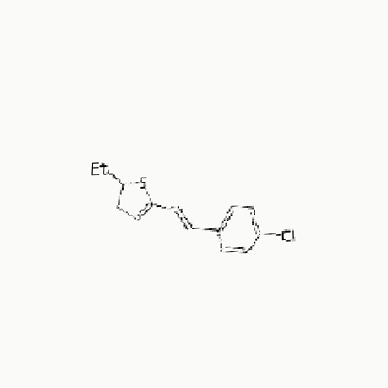 CCC1CC=C(/C=C/c2ccc(Cl)cc2)S1